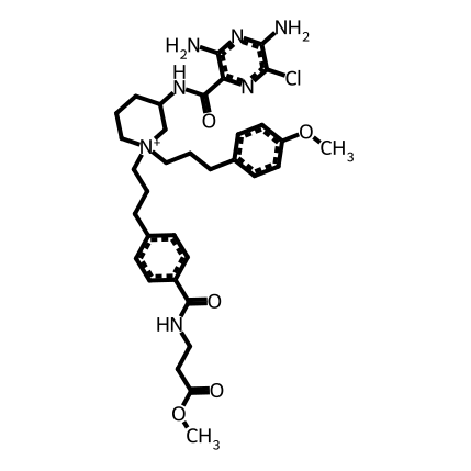 COC(=O)CCNC(=O)c1ccc(CCC[N+]2(CCCc3ccc(OC)cc3)CCCC(NC(=O)c3nc(Cl)c(N)nc3N)C2)cc1